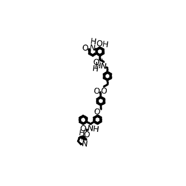 O=C(NC(c1ccccc1)c1cccc(OCc2ccc(C(=O)OCCc3ccc(CNC[C@@H](O)c4ccc(O)c5[nH]c(=O)ccc45)cc3)cc2)c1)O[C@H]1CN2CCC1CC2